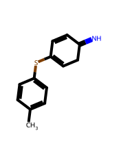 Cc1ccc(SC2=CCC(=N)C=C2)cc1